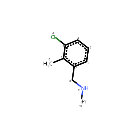 Cc1c(Cl)cccc1CNC(C)C